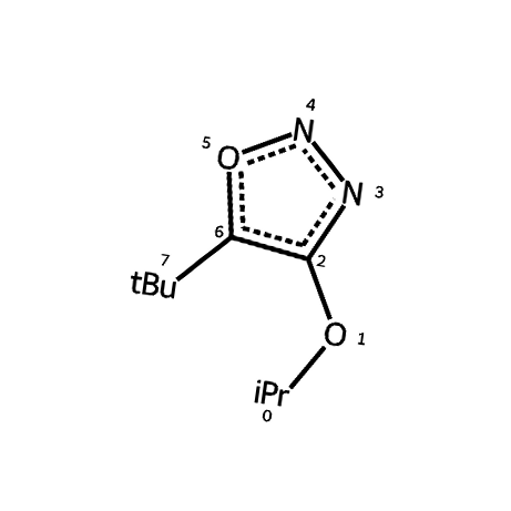 CC(C)Oc1nnoc1C(C)(C)C